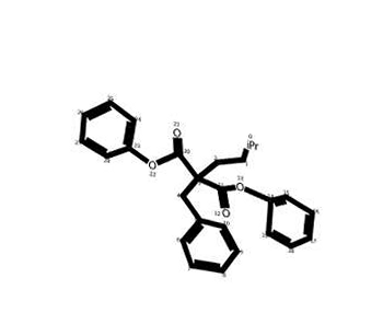 CC(C)CCC(Cc1ccccc1)(C(=O)Oc1ccccc1)C(=O)Oc1ccccc1